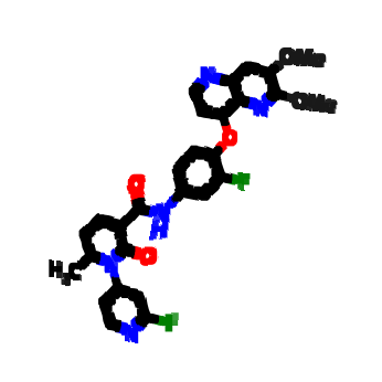 COc1cc2nccc(Oc3ccc(NC(=O)c4ccc(C)n(-c5ccnc(F)c5)c4=O)cc3F)c2nc1OC